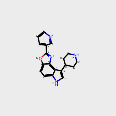 c1cncc(-c2nc3c(ccc4[nH]cc(C5CCNCC5)c43)o2)c1